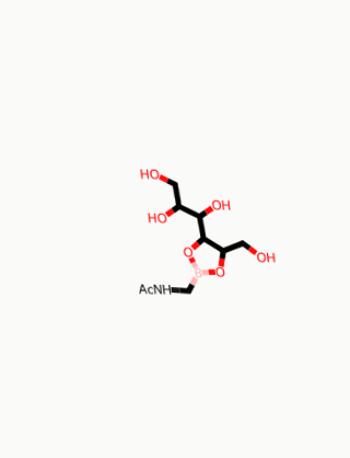 CC(=O)NCB1OC(CO)C(C(O)C(O)CO)O1